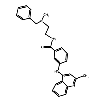 Cc1cc(Nc2cccc(C(=O)NCCN(C)Cc3ccccc3)c2)c2ccccc2n1